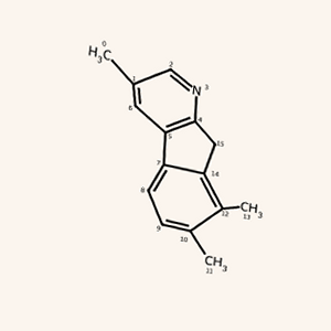 Cc1cnc2c(c1)-c1ccc(C)c(C)c1C2